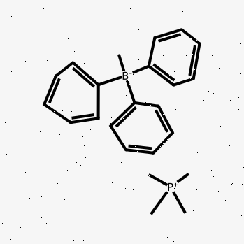 C[B-](c1ccccc1)(c1ccccc1)c1ccccc1.C[P+](C)(C)C